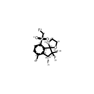 O=S(=O)(CF)c1ccc(F)c2c1C1(OCCO1)C(F)(F)[C@@H]2F